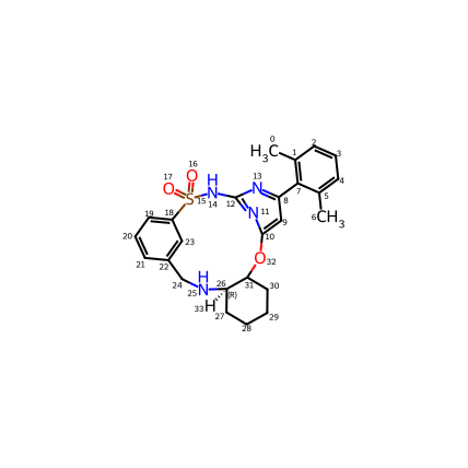 Cc1cccc(C)c1-c1cc2nc(n1)NS(=O)(=O)c1cccc(c1)CN[C@@H]1CCCCC1O2